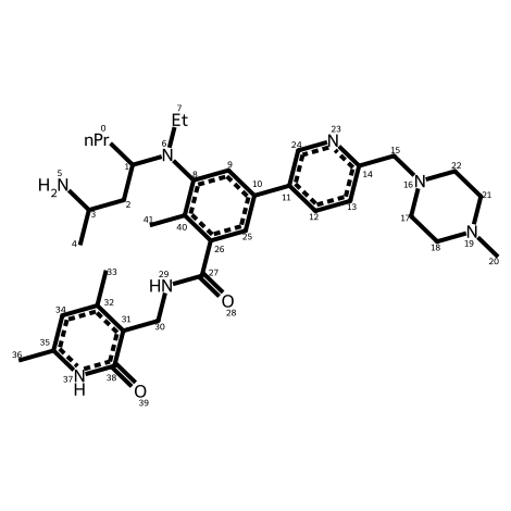 CCCC(CC(C)N)N(CC)c1cc(-c2ccc(CN3CCN(C)CC3)nc2)cc(C(=O)NCc2c(C)cc(C)[nH]c2=O)c1C